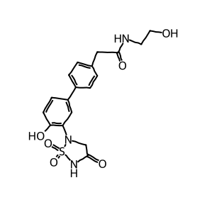 O=C(Cc1ccc(-c2ccc(O)c(N3CC(=O)NS3(=O)=O)c2)cc1)NCCO